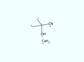 CC(C)(O)C#N.[CaH2]